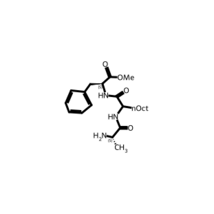 CCCCCCCCC(NC(=O)[C@H](C)N)C(=O)N[C@@H](Cc1ccccc1)C(=O)OC